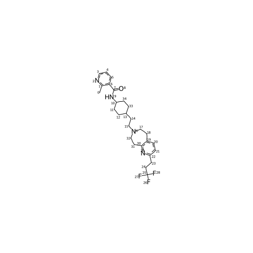 Cc1ncccc1C(=O)NC1CCC(CCN2CCc3ccc(CCC(F)(F)F)nc3CC2)CC1